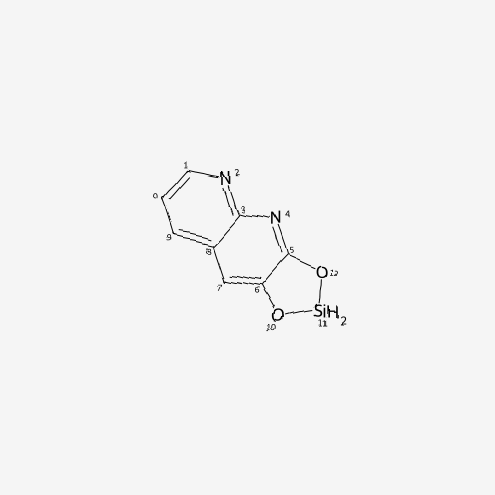 c1cnc2nc3c(cc2c1)O[SiH2]O3